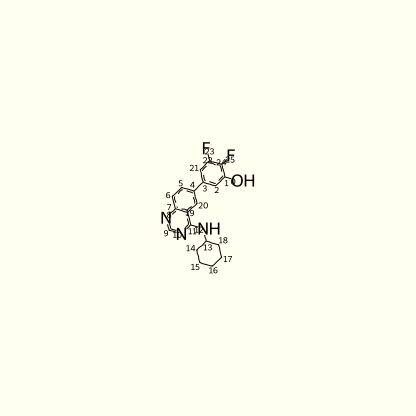 Oc1cc(-c2ccc3ncnc(NC4CCCCC4)c3c2)cc(F)c1F